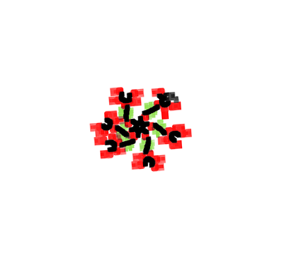 CC(CO)C(OCC(F)(F)C(F)(F)COCc1c(COCC(F)(F)C(F)(F)COC(C(O)CO)C(O)CO)c(COCC(F)(F)C(F)(F)COC(C(O)CO)C(O)CO)c(COCC(F)(F)C(F)(F)COC(C(O)CO)C(O)CO)c(COCC(F)(F)C(F)(F)COC(C(O)CO)C(O)CO)c1COCC(F)(F)C(F)(F)COC(C(O)CO)C(O)CO)C(O)CO